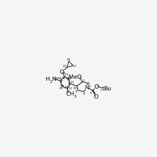 COC1CN(C(=O)OC(C)(C)C)CCC1c1cc(OC2CC2)c(N)cc1C